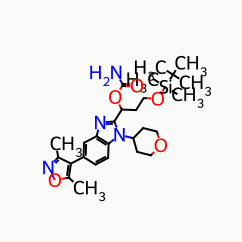 Cc1noc(C)c1-c1ccc2c(c1)nc(C(CCO[Si](C)(C)C(C)(C)C)OC(N)=O)n2C1CCOCC1